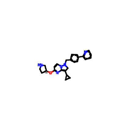 C1=CN2C(=C(C3CC3)CN2Cc2ccc(-c3ccccn3)cc2)N=C1O[C@H]1CCNC1